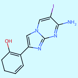 Nc1nc2nc(C3=C(O)CCC=C3)cn2cc1I